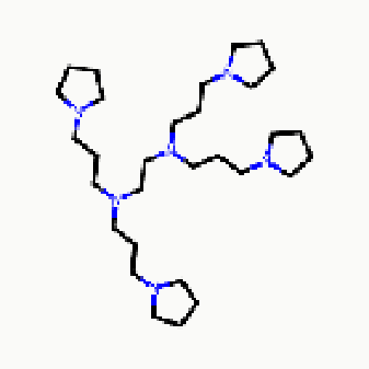 C1CCN(CCCN(CCCN2CCCC2)CCN(CCCN2CCCC2)CCCN2CCCC2)C1